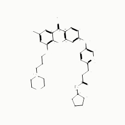 Cc1cc(OCCCN2CCOCC2)c2oc3cc(Oc4ccc(CCC(=O)NC5CCCC5)nc4)ccc3c(=O)c2c1